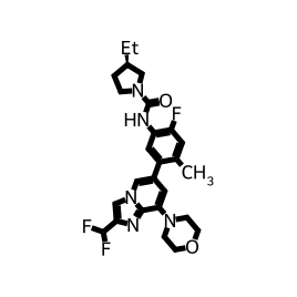 CC[C@@H]1CCN(C(=O)Nc2cc(-c3cc(N4CCOCC4)c4nc(C(F)F)cn4c3)c(C)cc2F)C1